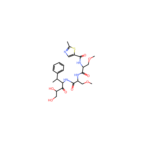 COCC(NC(=O)c1cnc(C)s1)C(=O)NC(COC)C(=O)NC(C(=O)C(O)CO)C(C)c1ccccc1